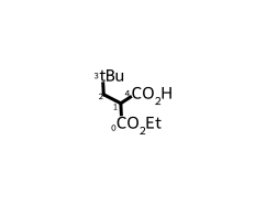 CCOC(=O)C(CC(C)(C)C)C(=O)O